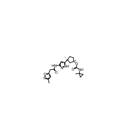 Cc1cc(CC(=O)Nc2cc([C@@]3(C)CC[C@@H](OC(=O)NC4(C)CC4)C3)[nH]n2)on1